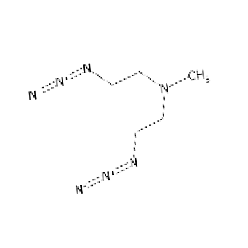 CN(CCN=[N+]=[N-])CCN=[N+]=[N-]